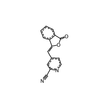 N#Cc1cc(/C=C2\OC(=O)c3ccccc32)ccn1